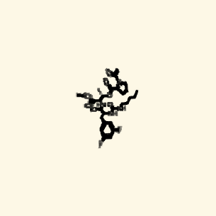 CCCCCNC(=O)N[C@@H](Cc1cc(F)cc(F)c1)C(=O)N[C@H](C(=O)OC)[C@H](C)OC(=O)C1CCCN1C(C)=O